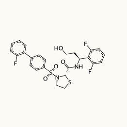 O=C(N[C@@H](CCO)c1c(F)cccc1F)[C@@H]1SCCN1S(=O)(=O)c1ccc(-c2ccccc2F)cc1